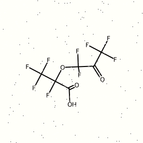 O=C(C(F)(F)F)C(F)(F)OC(F)(C(=O)O)C(F)(F)F